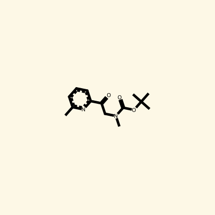 Cc1cccc(C(=O)CN(C)C(=O)OC(C)(C)C)n1